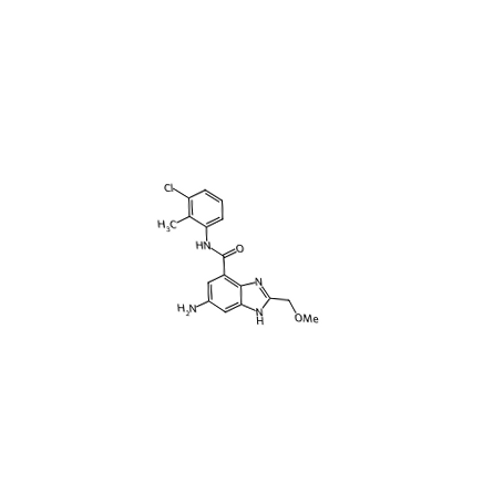 COCc1nc2c(C(=O)Nc3cccc(Cl)c3C)cc(N)cc2[nH]1